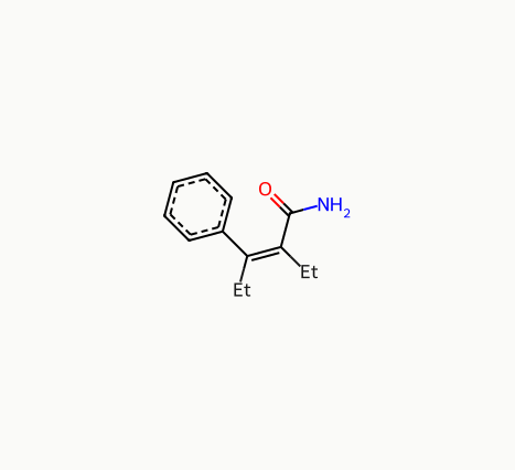 CCC(C(N)=O)=C(CC)c1ccccc1